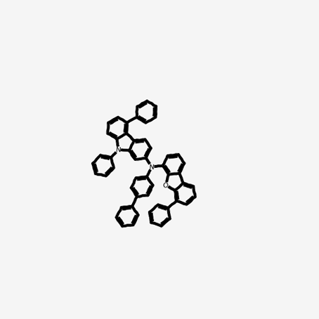 c1ccc(-c2ccc(N(c3ccc4c5c(-c6ccccc6)cccc5n(-c5ccccc5)c4c3)c3cccc4c3oc3c(-c5ccccc5)cccc34)cc2)cc1